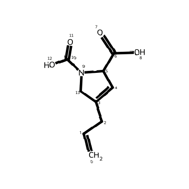 C=CCC1=CC(C(=O)O)N(C(=O)O)C1